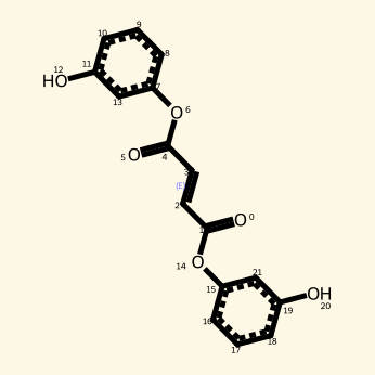 O=C(/C=C/C(=O)Oc1cccc(O)c1)Oc1cccc(O)c1